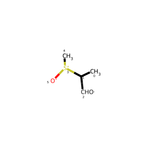 CC([C]=O)[S+](C)[O-]